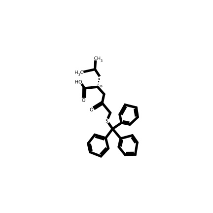 CC(C)C[C@H](CC(=O)CSC(c1ccccc1)(c1ccccc1)c1ccccc1)C(=O)O